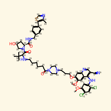 COc1cc(Nc2c(C#N)cnc3cc(OCCCN4CCN(C(=O)CCCCCNC(C(=O)N5C[C@H](O)C[C@H]5C(=O)NCc5ccc(-c6scnc6C)cc5)C(C)(C)C)CC4)c(OC)cc23)c(Cl)cc1Cl